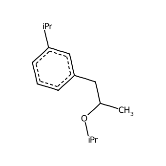 CC(C)OC(C)Cc1cccc(C(C)C)c1